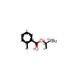 Cc1ccccc1C(=O)O[C@H](C)C(C)(C)C